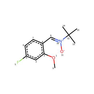 COc1cc(F)ccc1C=[N+]([O-])C(C)(C)C